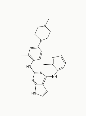 Cc1cc(N2CCN(C)CC2)ccc1Nc1nc(Nc2ccccc2C)c2cc[nH]c2n1